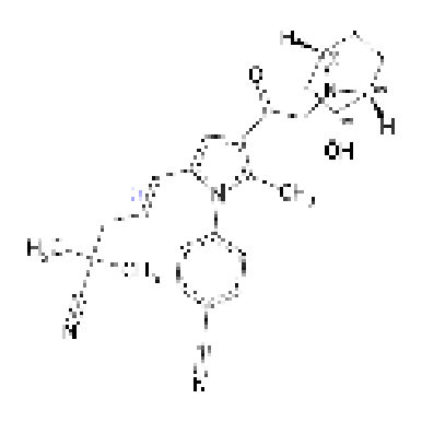 Cc1c(C(=O)CN2[C@H]3CC[C@@H]2[C@H](O)C3)cc(/C=C/CC(C)(C)C#N)n1-c1ccc(C#N)cc1